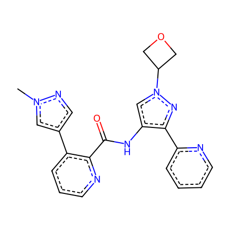 Cn1cc(-c2cccnc2C(=O)Nc2cn(C3COC3)nc2-c2ccccn2)cn1